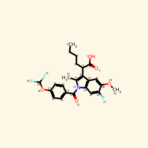 CCCCC(C(=O)O)c1c(C)n(C(=O)c2ccc(OC(F)F)cc2)c2cc(F)c(OC)cc12